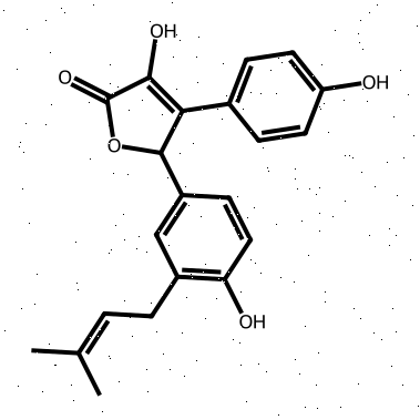 CC(C)=CCc1cc(C2OC(=O)C(O)=C2c2ccc(O)cc2)ccc1O